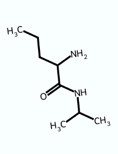 CCCC(N)C(=O)NC(C)C